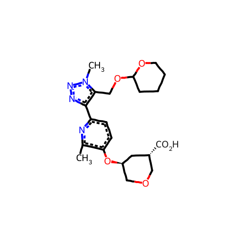 Cc1nc(-c2nnn(C)c2COC2CCCCO2)ccc1O[C@@H]1COC[C@@H](C(=O)O)C1